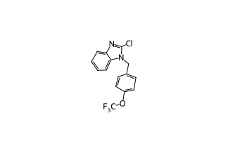 FC(F)(F)Oc1ccc(Cn2c(Cl)nc3ccccc32)cc1